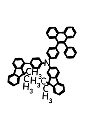 CC1(C)c2ccccc2-c2ccc(N(c3ccc(-c4cccc5c4C(C)(C)c4ccccc4-5)cc3)c3ccc(-c4c(-c5ccccc5)c5ccccc5c5ccccc45)cc3)cc21